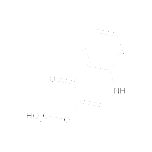 O=C(O)Oc1c[nH]c2ccccc2c1=O